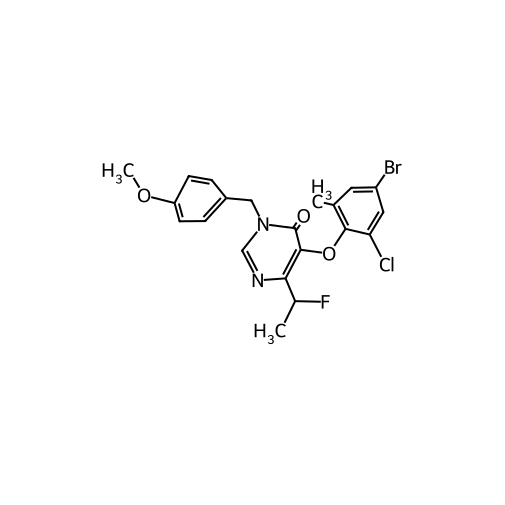 COc1ccc(Cn2cnc(C(C)F)c(Oc3c(C)cc(Br)cc3Cl)c2=O)cc1